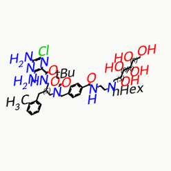 CCCCCCN(CCNC(=O)c1ccc(CN(C[C@H](CNC(=O)c2nc(Cl)c(N)nc2N)Cc2ccccc2C)C(=O)OC(C)(C)C)cc1)C[C@H](O)[C@@H](O)[C@H](O)[C@H](O)CO